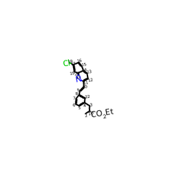 CCOC(=O)C(C)Cc1cccc(C=Cc2ccc3ccc(Cl)cc3n2)c1